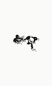 CCC/C=C/C(O)[C@@H]1CC[C@H]1CN1CCCCc2cc(Cl)ccc2COc2ccc(C(=O)NS(=O)(=O)[C@@H](CCC)C[C@H](C)O[Si](c3ccccc3)(c3ccccc3)C(C)(C)C)cc21